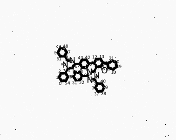 c1ccc(-c2cc(-c3ccc(-c4ccc5c(oc6ccccc65)c4-c4nc(-c5ccccc5)nc(-c5ccccc5)n4)cc3)nc(-c3ccccc3)n2)cc1